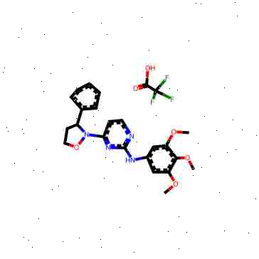 COc1cc(Nc2nccc(N3OCCC3c3ccccc3)n2)cc(OC)c1OC.O=C(O)C(F)(F)F